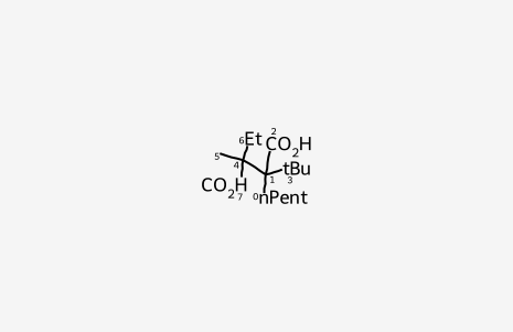 CCCCCC(C(=O)O)(C(C)(C)C)C(C)(CC)C(=O)O